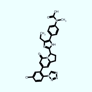 CCc1nc(C2CCc3cc(-c4cc(Cl)ccc4-n4cnnn4)cc(=O)n32)[nH]c1-c1ccc(N(C)C(=O)O)cc1